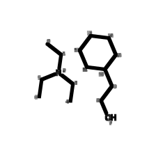 CCN(CC)CC.OCCC1CCCCC1